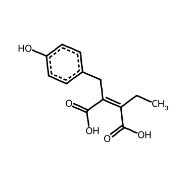 CC/C(C(=O)O)=C(\Cc1ccc(O)cc1)C(=O)O